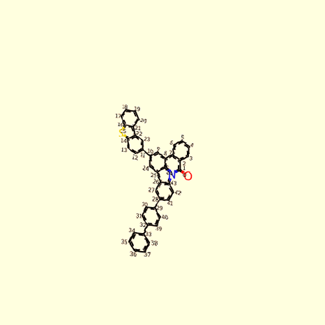 O=c1c2ccccc2c2cc(-c3ccc4sc5ccccc5c4c3)cc3c4cc(-c5ccc(-c6ccccc6)cc5)ccc4n1c23